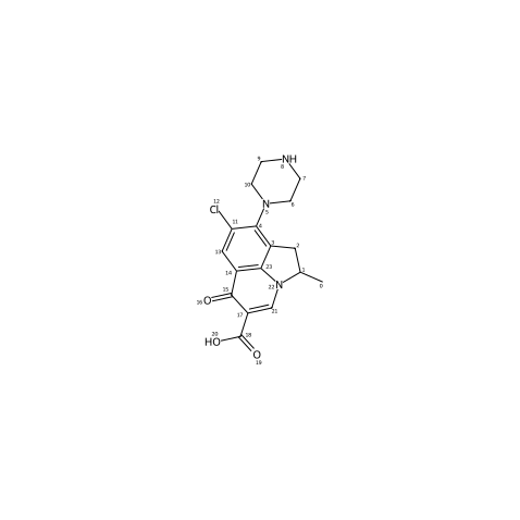 CC1Cc2c(N3CCNCC3)c(Cl)cc3c(=O)c(C(=O)O)cn1c23